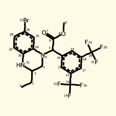 CCC1CN(C(C(=O)OC)c2cc(C(F)(F)F)cc(C(F)(F)F)c2)c2cc(Br)ccc2N1